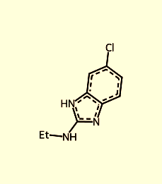 [CH2]CNc1nc2ccc(Cl)cc2[nH]1